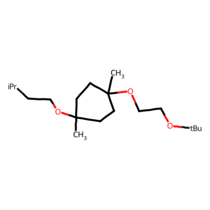 CC(C)CCOC1(C)CCC(C)(OCCOC(C)(C)C)CC1